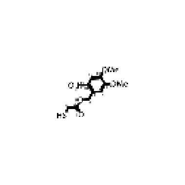 COc1cc(COC(=O)CS)c([N+](=O)[O-])cc1OC